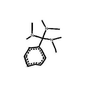 CN(C)C(c1cc[c]cc1)(N(C)C)N(C)C